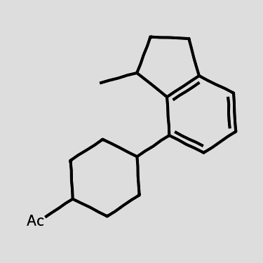 CC(=O)C1CCC(c2cccc3c2C(C)CC3)CC1